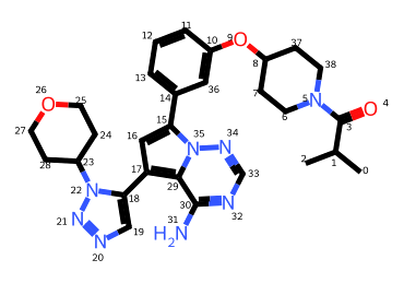 CC(C)C(=O)N1CCC(Oc2cccc(-c3cc(-c4cnnn4C4CCOCC4)c4c(N)ncnn34)c2)CC1